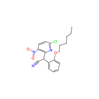 CCCCCCOc1ccccc1C(C#N)c1nc(Cl)ccc1[N+](=O)[O-]